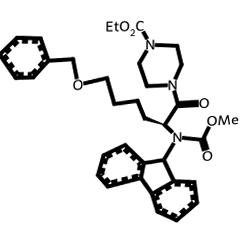 CCOC(=O)N1CCN(C(=O)[C@H](CCCCOCc2ccccc2)N(C(=O)OC)C2c3ccccc3-c3ccccc32)CC1